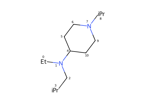 CCN(CC(C)C)C1CCN(C(C)C)CC1